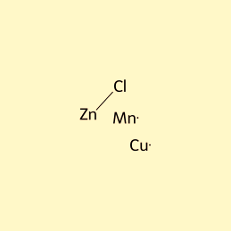 [Cl][Zn].[Cu].[Mn]